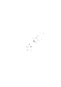 CCOc1ccc2nc(S(=O)(=O)NC(=O)/C(O)=C/C(=O)O)sc2c1